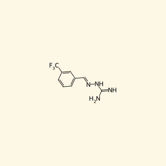 N=C(N)NN=Cc1cccc(C(F)(F)F)c1